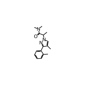 Cc1ccccc1-c1nn(C(C)C(=O)N(C)C)cc1C